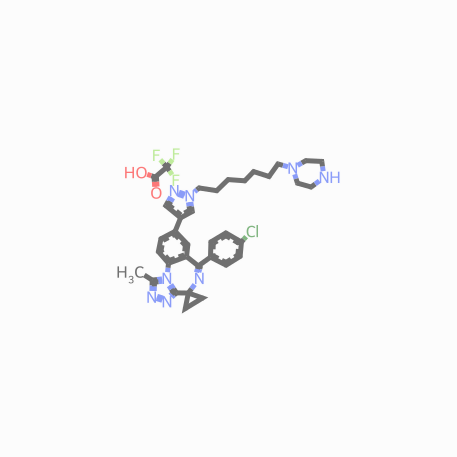 Cc1nnc2n1-c1ccc(-c3cnn(CCCCCCCN4CCNCC4)c3)cc1C(c1ccc(Cl)cc1)=NC21CC1.O=C(O)C(F)(F)F